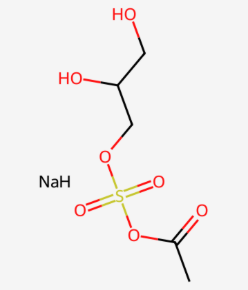 CC(=O)OS(=O)(=O)OCC(O)CO.[NaH]